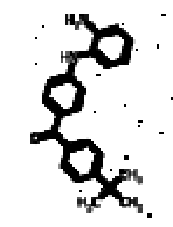 CC(C)(C)c1ccc(C(=O)c2ccc(Nc3ccccc3N)cc2)cc1